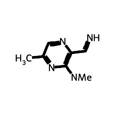 CNc1nc(C)cnc1C=N